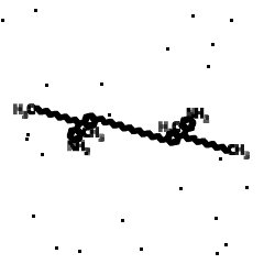 CCCCCCCCCCC(c1ccc(CCCCCCCCCCCCCCc2ccc(C(CCCCCCCCCC)c3ccc(N)cc3C)cc2)cc1)c1ccc(N)cc1C